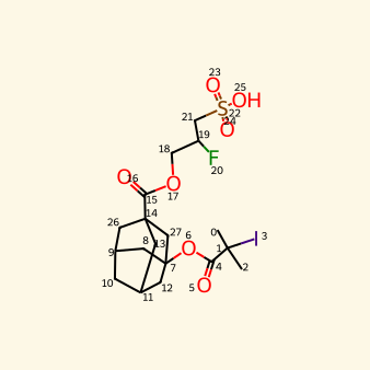 CC(C)(I)C(=O)OC12CC3CC(C1)CC(C(=O)OCC(F)CS(=O)(=O)O)(C3)C2